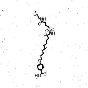 COCCNC(=O)CCCS(=O)(=O)NC(=O)CCCCCCCCCOc1ccc(C(=O)O)cc1